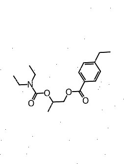 CCc1ccc(C(=O)OCC(C)OC(=O)N(CC)CC)cc1